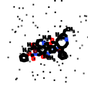 CCC1=C[C@@H]2CN(CCc3c([nH]c4ccccc34)[C@@](C(=O)OC)(c3cc4c(cc3OC)N(C)[C@H]3C(O)(CNC(=O)Oc5ccccc5)[C@H](OC(C)=O)[C@]5(CC)C=CCN6CC[C@]43[C@@H]65)C2)C1